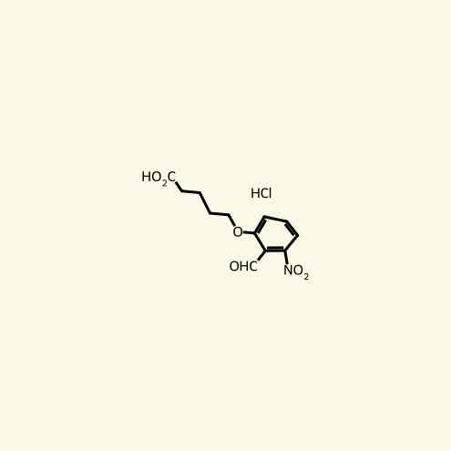 Cl.O=Cc1c(OCCCCC(=O)O)cccc1[N+](=O)[O-]